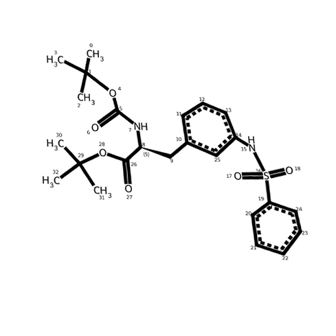 CC(C)(C)OC(=O)N[C@@H](Cc1cccc(NS(=O)(=O)c2ccccc2)c1)C(=O)OC(C)(C)C